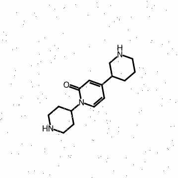 O=c1cc(C2CCCNC2)ccn1C1CCNCC1